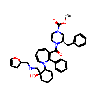 CC(C)(C)OC(=O)N1CCN(C(=O)C2=C(c3ccccc3)N(C3CCCCC3(O)CNCC3CC=CO3)C=CC=C2)[C@H](Cc2ccccc2)C1